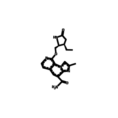 CC[C@@H]1CC(=O)N[C@@H]1COc1nccc2cc(C(N)=O)c3nc(C)cn3c12